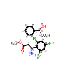 CC(C)(C)OC(=O)C[C@@H](N)c1c(F)cc(F)cc1Br.O=C(O)[C@@H](O)c1ccccc1